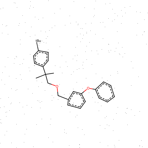 CC(C)(C)c1ccc(C(C)(C)COCc2cccc(Oc3ccccc3)c2)cc1